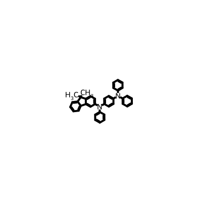 CC1(C)c2ccccc2-c2cc(N(c3ccccc3)c3ccc(N(c4ccccc4)c4ccccc4)cc3)ccc21